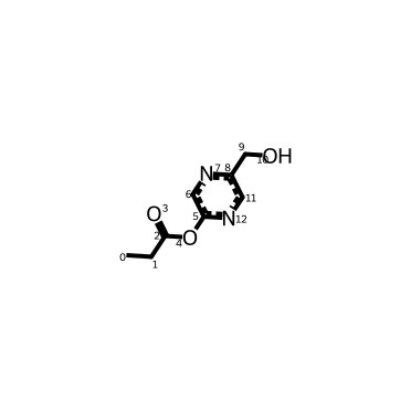 CCC(=O)Oc1cnc(CO)cn1